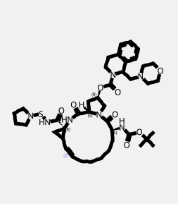 CC(C)(C)OC(=O)N[C@H]1CCCCC/C=C\C2C[C@@]2(C(=O)NSN2CCCC2)NC(=O)[C@@H]2C[C@@H](OC(=O)N3CCc4ccccc4C3CN3CCOCC3)CN2C1=O